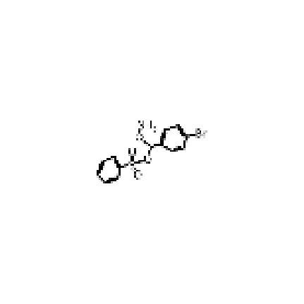 NOC(OS(=O)(=O)c1ccccc1)c1ccc(Br)cc1